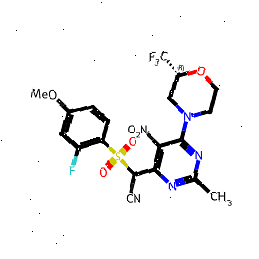 COc1ccc(S(=O)(=O)C(C#N)c2nc(C)nc(N3CCO[C@@H](C(F)(F)F)C3)c2[N+](=O)[O-])c(F)c1